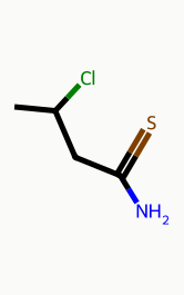 CC(Cl)CC(N)=S